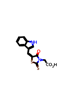 O=C(O)CN1C(=O)/C(=C\c2c[nH]c3ccccc23)SC1=S